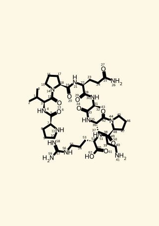 CC(C)[C@H](NC(=O)[C@@H]1CCCN1)C(=O)N1CCC[C@H]1C(=O)N[C@@H](CCC(N)=O)C(=O)N[C@@H](C)C(=O)N[C@@H](CCCCN)C(=O)N1CCC[C@H]1C(=O)N[C@@H](CCCNC(=N)N)C(=O)O